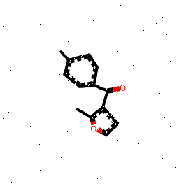 Cc1ccc(C(=O)c2ccoc2C)cc1